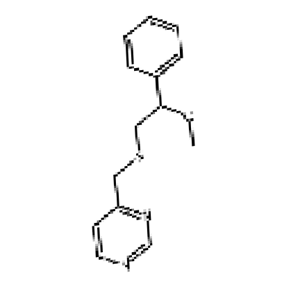 COC(CSCc1ccncn1)c1ccccc1